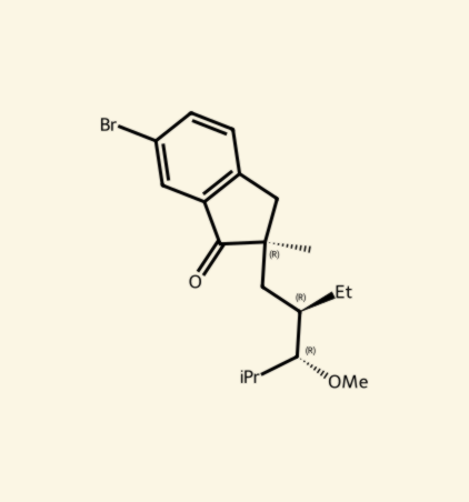 CC[C@H](C[C@]1(C)Cc2ccc(Br)cc2C1=O)[C@H](OC)C(C)C